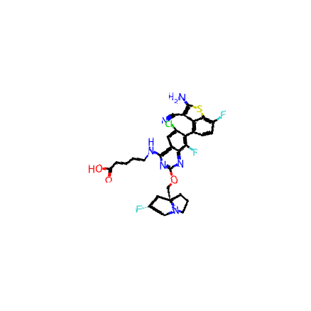 N#Cc1c(N)sc2c(F)ccc(-c3c(Cl)cc4c(NCCCCC(=O)O)nc(OC[C@@]56CCCN5C[C@H](F)C6)nc4c3F)c12